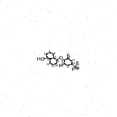 Oc1cccc2c(Oc3c(F)cc(C(F)(F)F)cc3F)cccc12